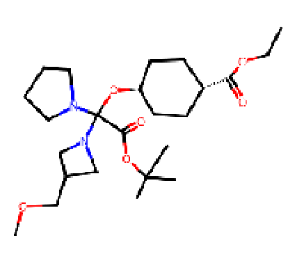 CCOC(=O)[C@H]1CC[C@H](OC(C(=O)OC(C)(C)C)(N2CCCC2)N2CC(COC)C2)CC1